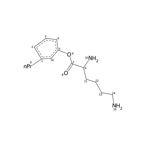 CCCc1cccc(OC(=O)C(N)CCCCN)c1